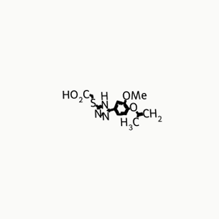 C=C(C)Oc1ccc(-c2nnc(SCC(=O)O)[nH]2)cc1OC